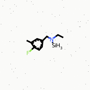 CCN([SiH3])Cc1ccc(F)c(C)c1